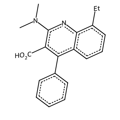 CCc1cccc2c(-c3ccccc3)c(C(=O)O)c(N(C)C)nc12